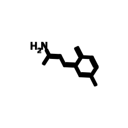 C=c1ccc(C)c/c1=C/C=C(\C)N